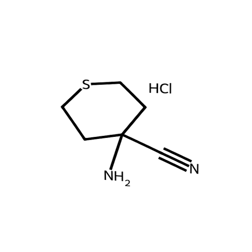 Cl.N#CC1(N)CCSCC1